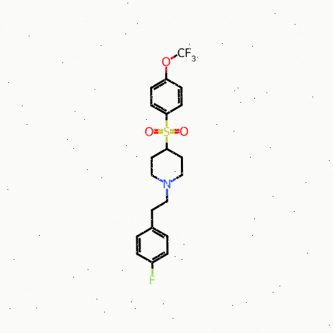 O=S(=O)(c1ccc(OC(F)(F)F)cc1)C1CCN(CCc2ccc(F)cc2)CC1